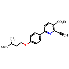 C#Cc1nc(-c2ccc(OCCC(C)SC)cc2)ccc1C(=O)OCC